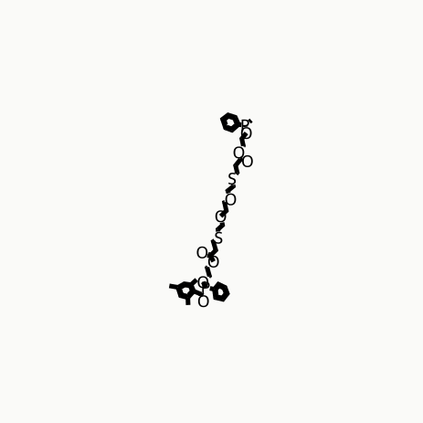 Cc1cc(C)c(C(=O)P(OCCOC(=O)CCSCCOCCOCCSCCC(=O)OCCOP(C)c2ccccc2)c2ccccc2)c(C)c1